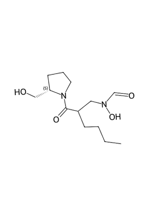 CCCCC(CN(O)C=O)C(=O)N1CCC[C@H]1CO